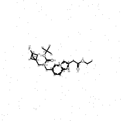 CCOC(=O)Cc1cn2cc(CN(CC34CC(F)(C3)C4)C(=O)OC(C)(C)C)ccc2n1